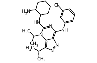 CC(C)c1nnc2c(Nc3cccc(Cl)c3)nc(NC3CCCCC3N)n(C(C)C)c1-2